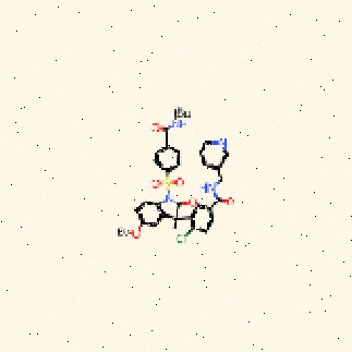 CCOc1ccc2c(c1)C(C)(c1cc(C(=O)NCc3cccnc3)ccc1Cl)C(=O)N2S(=O)(=O)c1ccc(C(=O)NC(C)(C)C)cc1